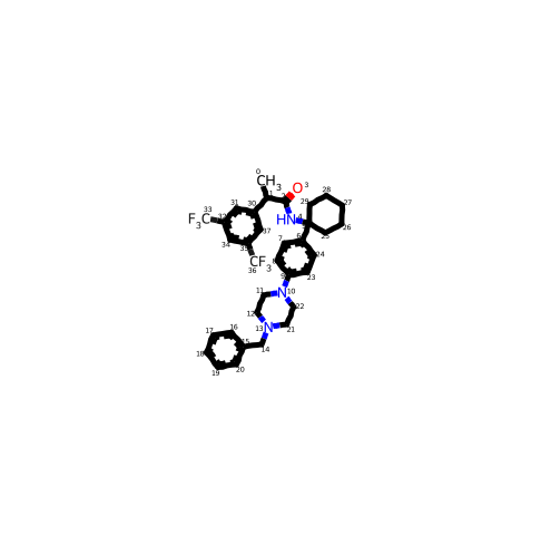 CC(C(=O)NC1(c2ccc(N3CCN(Cc4ccccc4)CC3)cc2)CCCCC1)c1cc(C(F)(F)F)cc(C(F)(F)F)c1